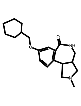 CN1CC2CNC(=O)c3cc(OCC4CCCCC4)ccc3C2C1